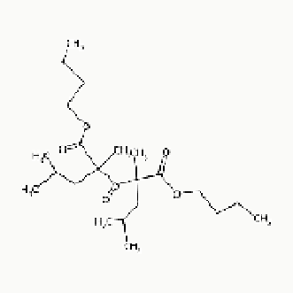 CCCCOC(=O)C(C)(CC(C)C)C(=O)C(C)(CC(C)C)C(=O)OCCCC